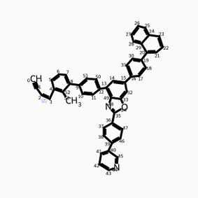 C#C/C=C\c1cccc(-c2ccc(-c3cc(-c4ccc(-c5cccc6ccccc56)cc4)cc4oc(-c5ccc(-c6cccnc6)cc5)nc34)cc2)c1C